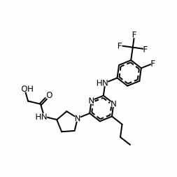 CCCc1cc(N2CCC(NC(=O)CO)C2)nc(Nc2ccc(F)c(C(F)(F)F)c2)n1